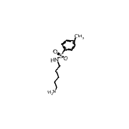 Cc1ccc(S(=O)(=O)NCCCCCN)cc1